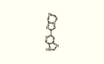 c1cn2cc(-c3cc4nc[nH]c4cn3)nc2cn1